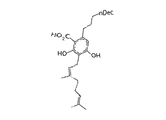 CCCCCCCCCCCCCc1cc(O)c(CC=C(C)CCC=C(C)C)c(O)c1C(=O)O